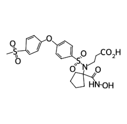 CS(=O)(=O)c1ccc(Oc2ccc(S(=O)(=O)N(CCC(=O)O)C3(C(=O)NO)CCCC3)cc2)cc1